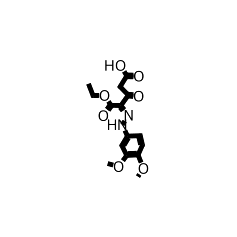 CCOC(=O)C(=NNc1ccc(OC)c(OC)c1)C(=O)CC(=O)O